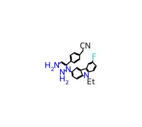 CCn1c2ccc(F)cc2c2cc(N(N)/C(=C\N)c3ccc(CC#N)cc3)ccc21